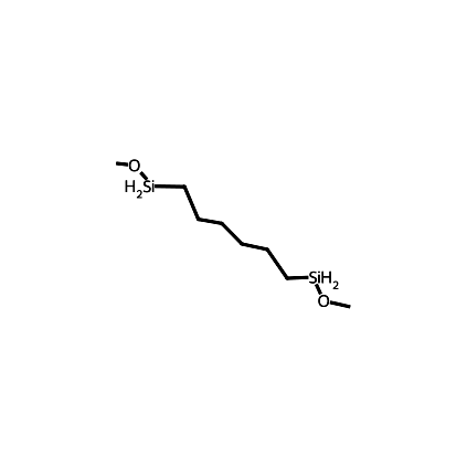 CO[SiH2]CCCCCC[SiH2]OC